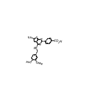 CCc1cc2c(NCc3ccc(OC)c(OC)c3)nc(-c3ccc(C(=O)O)cc3)nc2s1